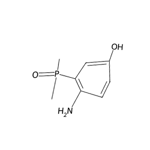 CP(C)(=O)c1cc(O)ccc1N